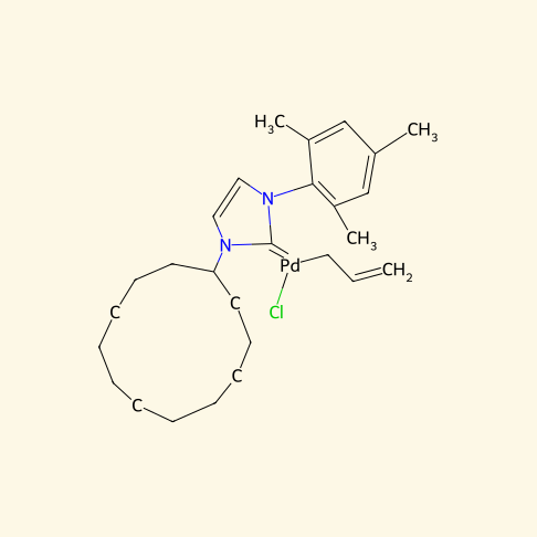 C=C[CH2][Pd]([Cl])=[c]1n(-c2c(C)cc(C)cc2C)ccn1C1CCCCCCCCCCC1